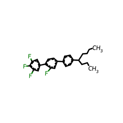 CCCCC(CCC)c1ccc(-c2ccc(-c3cc(F)c(F)c(F)c3)c(F)c2)cc1